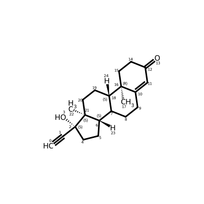 C#C[C@]1(O)CC[C@H]2C3CCC4=CC(=O)CC[C@]4(C)[C@H]3CC[C@@]21C